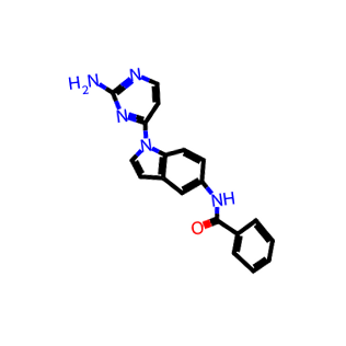 Nc1nccc(-n2ccc3cc(NC(=O)c4ccccc4)ccc32)n1